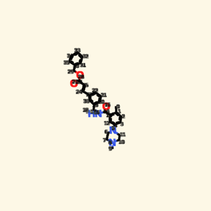 Cc1ccc(N2CCN(C)CC2)cc1C(=O)N[C@H](C)c1cccc(/C=C/C(=O)OCc2ccccc2)c1